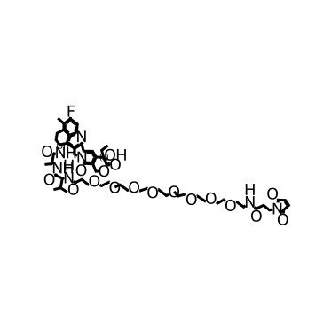 CC[C@@]1(O)C(=O)OCc2c1cc1n(c2=O)Cc2c-1nc1cc(F)c(C)c3c1c2[C@@H](NC(=O)C(C)NC(=O)C(NC(=O)CCOCCOCCOCCOCCOCCOCCOCCOCCNC(=O)CCN1C(=O)C=CC1=O)C(C)C)CC3